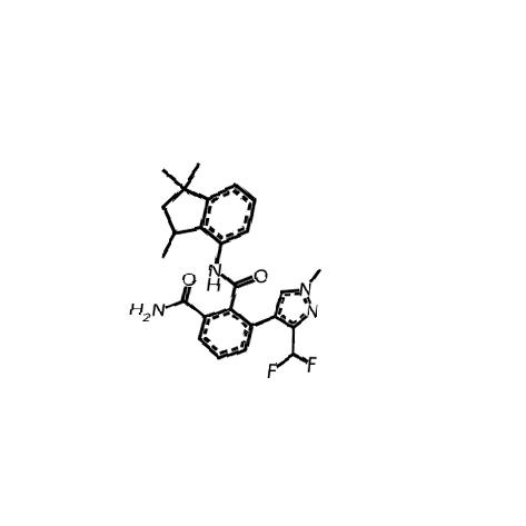 CC1CC(C)(C)c2cccc(NC(=O)c3c(C(N)=O)cccc3-c3cn(C)nc3C(F)F)c21